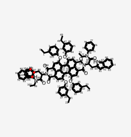 CCc1cccc(Oc2cc3c4c(cc(Oc5cccc(CC)c5)c5c6c(Oc7cccc(CC)c7)cc7c8c(cc(Oc9cccc(CC)c9)c(c2c45)c86)C(=O)N(C(Cc2cc4ccccc4[nH]2)C(=O)N(CC)c2ccccc2)C7=O)C(=O)N(C(Cc2cc4ccccc4[nH]2)C(=O)N(CC)c2ccccc2)C3=O)c1